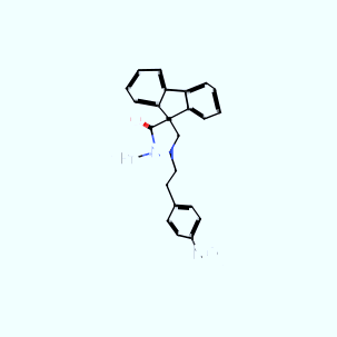 CCCNC(=O)C1(CCCCc2ccc([N+](=O)[O-])cc2)c2ccccc2-c2ccccc21